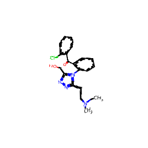 CN(C)CCc1nnc(CO)n1-c1ccccc1C(=O)c1ccccc1Cl